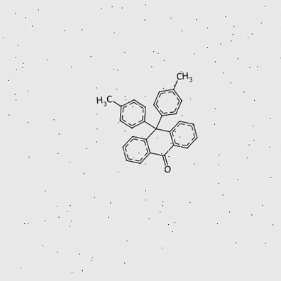 Cc1ccc(C2(c3ccc(C)cc3)c3ccccc3C(=O)c3ccccc32)cc1